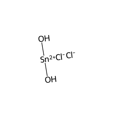 [Cl-].[Cl-].[OH][Sn+2][OH]